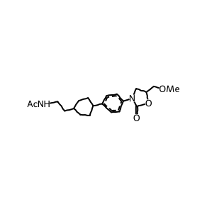 COCC1CN(c2ccc(C3CCC(CCNC(C)=O)CC3)cc2)C(=O)O1